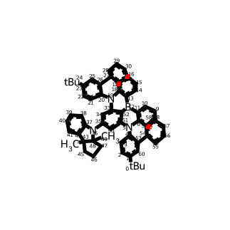 CC(C)(C)c1ccc(N2c3ccccc3B3c4ccccc4N(c4ccc(C(C)(C)C)cc4-c4ccccc4)c4cc(N5c6ccccc6C6(C)CCCC56C)cc2c43)c(-c2ccccc2)c1